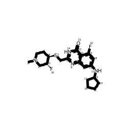 CN1CC[C@@H](SCc2nc3cc(NC4CCCC4)cc(F)c3c(=O)[nH]2)[C@H](F)C1